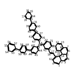 C1=CC2C=CC3C=CC4=C(CCC=C4)C3C2C(C=Cc2cccc(N(c3ccc(-c4ccc(-c5ccccc5)cc4)cc3)c3cccc(-c4ccc(-c5ccccc5)cc4)c3)c2)=C1